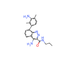 CCCNC(=O)c1nnc2c(-c3ccc(C)c(N)c3C)cccc2c1N